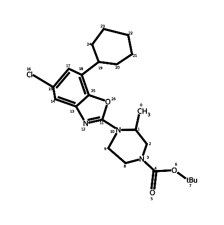 CC1CN(C(=O)OC(C)(C)C)CCN1c1nc2cc(Cl)cc(C3CCCCC3)c2o1